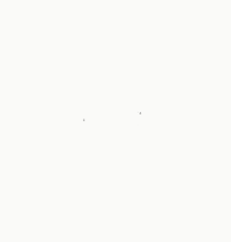 CC(C)CSC(CS(=O)(=O)Nc1ccccc1)C(F)(F)F